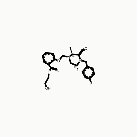 C[C@@H]1CN(COc2ccccc2C(=O)OCCO)[C@@H](C)C(=C=O)N1Cc1ccc(F)cc1